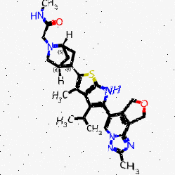 CNC(=O)CN1C[C@@H]2C[C@H]1C[C@H]2c1sc2[nH]c(-c3cn4nc(C)nc4c4c3COC4)c(C(C)C)c2c1C